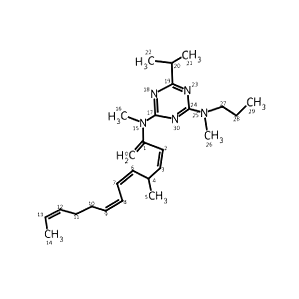 C=C(/C=C\C(C)/C=C\C=C/CC/C=C\C)N(C)c1nc(C(C)C)nc(N(C)CCC)n1